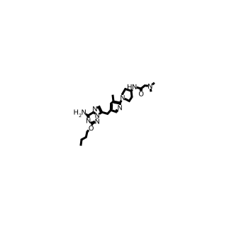 CCCCOc1nc(N)c2ncc(Cc3cnc(N4CCC(NC(=O)CN(C)C)CC4)c(C)c3)n2n1